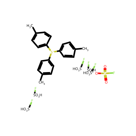 Cc1ccc([S+](c2ccc(C)cc2)c2ccc(C)cc2)cc1.O=S(=O)(O)F.O=S(=O)(O)F.O=S(=O)(O)F.O=S(=O)(O)F.O=S(=O)(O)F.O=S(=O)([O-])F